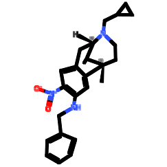 CC1[C@@H]2Cc3cc([N+](=O)[O-])c(NCc4ccccc4)cc3[C@@]1(C)CCN2CC1CC1